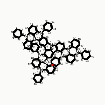 c1ccc(N2c3ccccc3B3c4cc5c6c7c(cc8c9c%10c(ccc9n(c5cc4N(c4ccccc4)c4cccc2c43)c86)B2c3ccccc3N(c3ccccc3)c3cccc(c32)N%10c2ccccc2)B2c3ccccc3N(c3ccccc3)c3cccc(c32)N7c2ccccc2)cc1